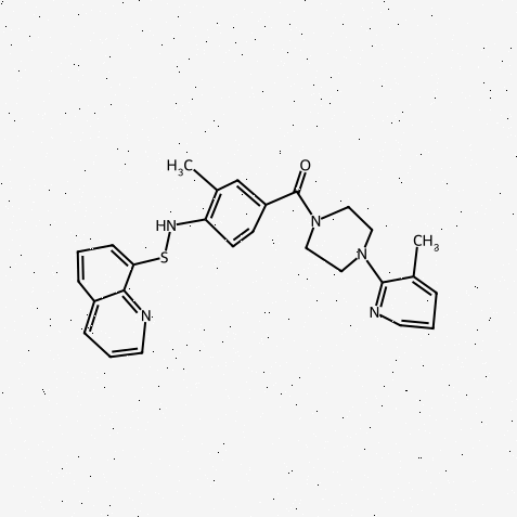 Cc1cc(C(=O)N2CCN(c3ncccc3C)CC2)ccc1NSc1cccc2cccnc12